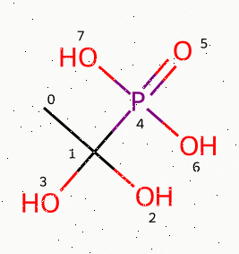 CC(O)(O)P(=O)(O)O